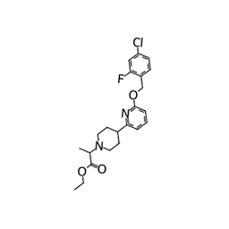 CCOC(=O)C(C)N1CCC(c2cccc(OCc3ccc(Cl)cc3F)n2)CC1